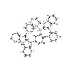 c1ccc(-n2c3ccccc3c3c4ccccc4n(-c4cccc(-n5c6ccccc6c6c7ccccc7n(-c7ccccc7)c65)c4)c32)cc1